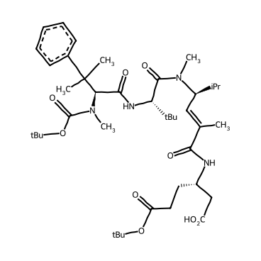 C/C(=C\[C@H](C(C)C)N(C)C(=O)[C@@H](NC(=O)[C@@H](N(C)C(=O)OC(C)(C)C)C(C)(C)c1ccccc1)C(C)(C)C)C(=O)N[C@@H](CCC(=O)OC(C)(C)C)CC(=O)O